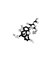 Cc1ccc2c3c1O[C@H]1C(OC(=O)[C@@H](CC(=O)C(C)C)OC(=O)OC(C)(C)C)=CC[C@@]4(O)[C@@H](C2)N(C)CC[C@]314